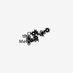 COC(=O)[C@@H]1C[C@H](Nc2nccc(-c3cc(Cl)cc4ncn(CCCN(C)C(=O)OCc5ccccc5)c34)n2)CN1C(=O)OC(C)(C)C